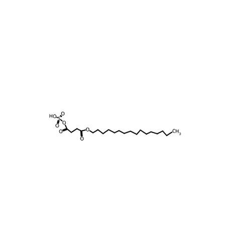 CCCCCCCCCCCCCCCCOC(=O)CCC(=O)OS(=O)(=O)O